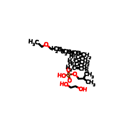 C=C.C=C.C=C.C=C.C=C.C=C.C=C.CC(C)COS(=O)(=O)O.CCOCC.OCCO